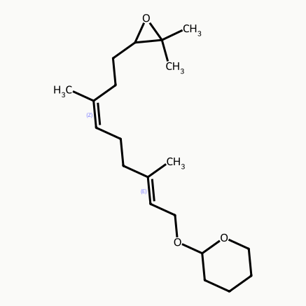 C/C(=C/CC/C(C)=C/COC1CCCCO1)CCC1OC1(C)C